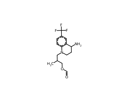 CC(COC=O)CN1CCC(N)c2cc(C(F)(F)F)ccc21